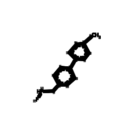 Cc1ccc(-c2ccc(CPF)cc2)cc1